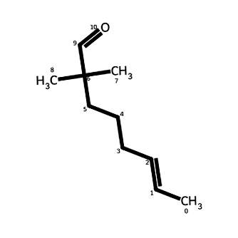 CC=CCCCC(C)(C)C=O